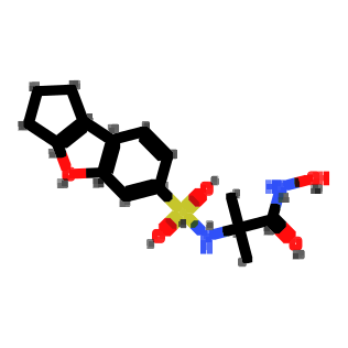 CC(C)(NS(=O)(=O)c1ccc2c3c(oc2c1)CCC3)C(=O)NO